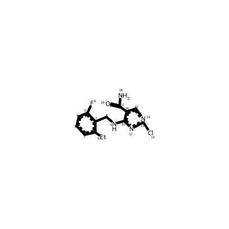 CCc1cccc(F)c1CNc1nc(Cl)ncc1C(N)=O